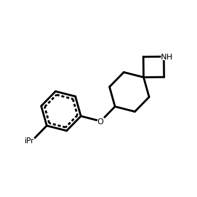 CC(C)c1cccc(OC2CCC3(CC2)CNC3)c1